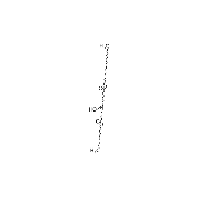 CCCCCCCCCCCCCCCCCOC(=O)CCCCCCCN(CCO)CCCCCC(=O)OCCCCCCCCCCC